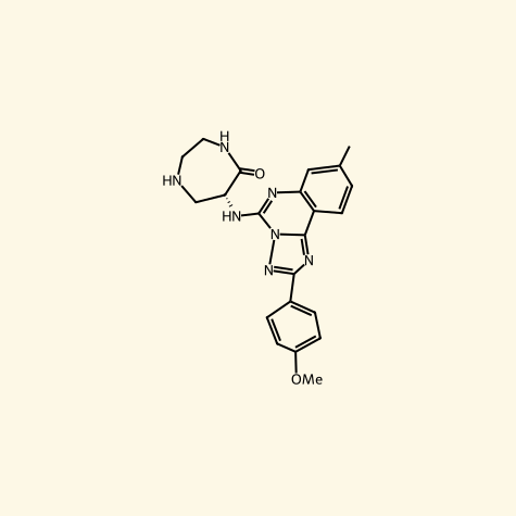 COc1ccc(-c2nc3c4ccc(C)cc4nc(N[C@@H]4CNCCNC4=O)n3n2)cc1